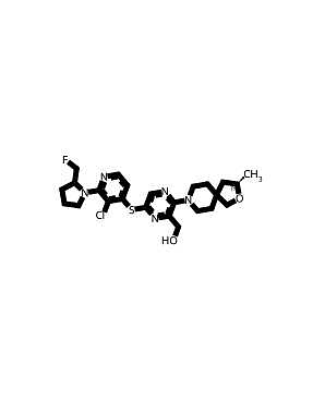 C[C@H]1CC2(CCN(c3ncc(Sc4ccnc(N5CCCC5CF)c4Cl)nc3CO)CC2)CO1